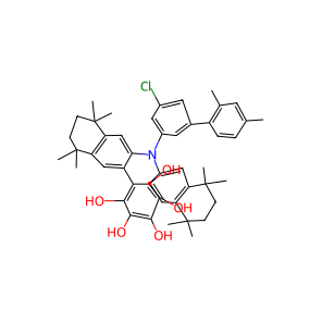 Cc1ccc(-c2cc(Cl)cc(N(c3ccc4c(c3)C(C)(C)CCC4(C)C)c3cc4c(cc3-c3c(O)c(O)c(O)c(O)c3O)C(C)(C)CCC4(C)C)c2)c(C)c1